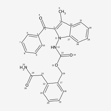 Cc1c(C(=O)c2ccccc2)n(NC(=O)OCc2ccccc2CC(N)=O)c2ccccc12